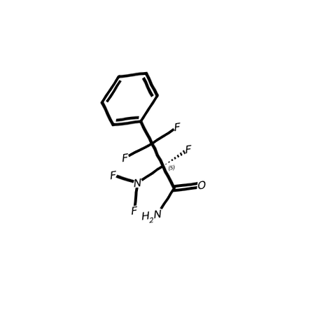 NC(=O)[C@@](F)(N(F)F)C(F)(F)c1ccccc1